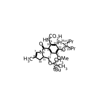 COc1cc(C(=O)N2C=C(C)CC2CO[Si](C)(C)C(C)(C)C)c(NC(=O)O)cc1O[Si](C(C)C)(C(C)C)C(C)C